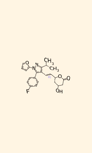 CC(C)c1nn(-c2ccco2)c(-c2ccc(F)cc2)c1/C=C/C1CC(O)CC(=O)O1